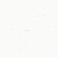 CSC(C)(C(=O)O)n1nc(C(F)(F)F)cc1-c1ccc(-c2cccc(S(C)(=O)=O)c2)cc1